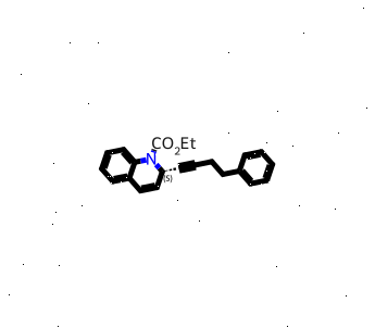 CCOC(=O)N1c2ccccc2C=C[C@H]1C#CCCc1ccccc1